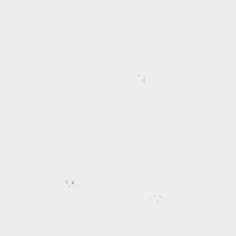 COC1CC2=C(CNCC2)CC1OC